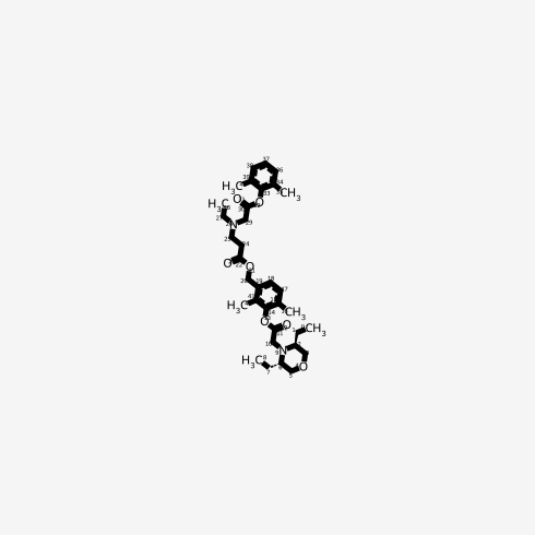 CC[C@H]1COC[C@H](CC)N1CC(=O)Oc1c(C)ccc(COC(=O)CCN(CC)CC(=O)Oc2c(C)cccc2C)c1C